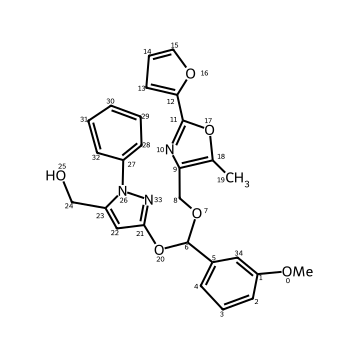 COc1cccc(C(OCc2nc(-c3ccco3)oc2C)Oc2cc(CO)n(-c3ccccc3)n2)c1